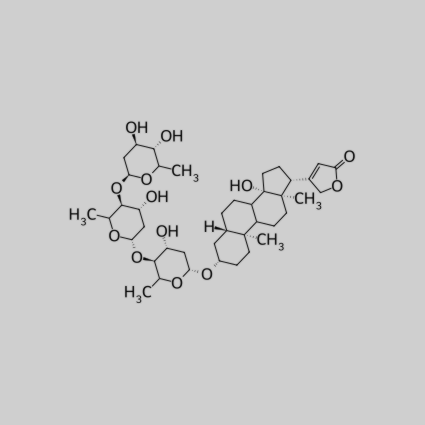 CC1O[C@@H](O[C@@H]2C(C)O[C@@H](O[C@@H]3C(C)O[C@@H](O[C@H]4CC[C@]5(C)C6CC[C@]7(C)[C@@H](C8=CC(=O)OC8)CC[C@]7(O)C6CC[C@H]5C4)C[C@H]3O)C[C@H]2O)C[C@@H](O)[C@@H]1O